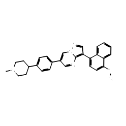 CN1CCC(c2ccc(-c3cnc4c(-c5ccc(SN)c6ccccc56)cnn4c3)cc2)CC1